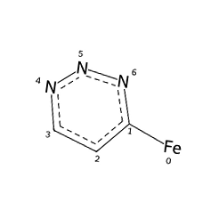 [Fe][c]1ccnnn1